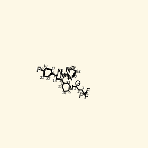 O=C(CCC(F)(F)F)N1CCCC(c2cc(-c3ccc(F)cc3)nn2-c2ncccn2)C1